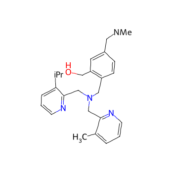 CNCc1ccc(CN(Cc2ncccc2C)Cc2ncccc2C(C)C)c(CO)c1